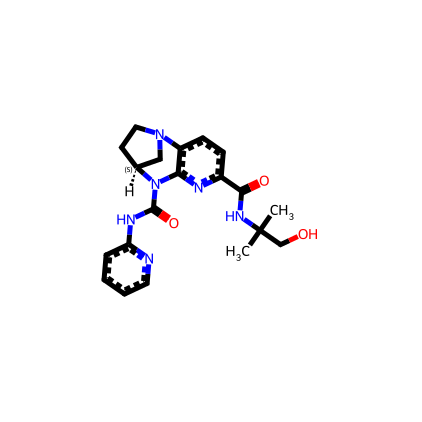 CC(C)(CO)NC(=O)c1ccc2c(n1)N(C(=O)Nc1ccccn1)[C@H]1CCN2C1